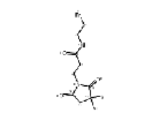 CC(C)CCNC(=O)CCN1C(=O)CC(C)(C)C1=O